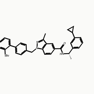 Cc1nn(Cc2ccc(-c3ccccc3C(C)(C)C)cc2)c2ccc(C(=O)N[C@@H](C)c3cccc(C4CC4)c3)cc12